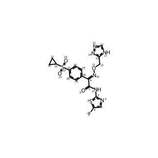 O=C(Nc1ncc(F)s1)/C(=N/OCc1nnc[nH]1)c1ccc(S(=O)(=O)C2CC2)cc1